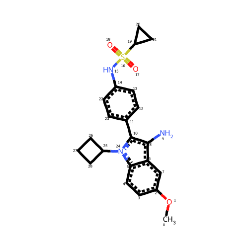 COc1ccc2c(c1)c(N)c(-c1ccc(NS(=O)(=O)C3CC3)cc1)n2C1CCC1